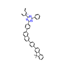 C=C/C=C(\C=C)c1nc(-c2ccccc2)nc(-c2ccc(-c3ccc4ccc(-c5ccc(-c6ccc7c(c6)C(C)(C)c6ccccc6-7)cc5)cc4c3)cc2)n1